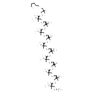 CCC(CO)(COC)COCC(CC)(COC)COCC(CC)(COC)COCC(CC)(COC)COCC(CC)(COC)COCC(CC)(COC)COCC(CC)(COC)COCC(CC)(COC)COCC(CC)(COC)COCC(CC)(COC)COCC(CC)(COC)COCC(CC)(COC)COCC1CCCO1